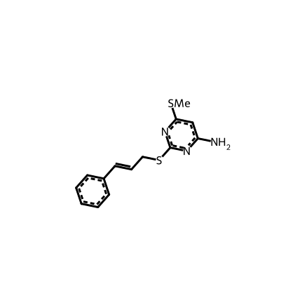 CSc1cc(N)nc(SCC=Cc2ccccc2)n1